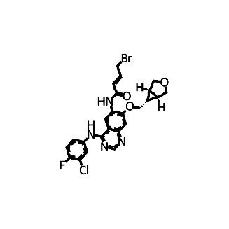 O=C(/C=C/CBr)Nc1cc2c(Nc3ccc(F)c(Cl)c3)ncnc2cc1OC[C@@H]1[C@@H]2COC[C@@H]21